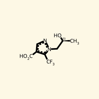 C[C@H](O)Cn1ncc(C(=O)O)c1C(F)(F)F